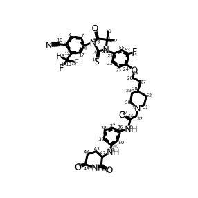 CC1(C)C(=O)N(c2ccc(C#N)c(C(F)(F)F)c2)C(=S)N1c1ccc(OCCC2CCN(CC(=O)Nc3cccc(NC4CCC(=O)NC4=O)c3)CC2)c(F)c1